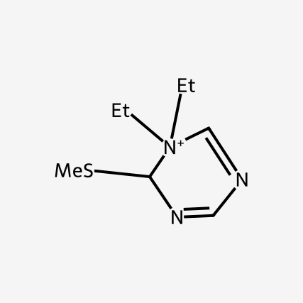 CC[N+]1(CC)C=NC=NC1SC